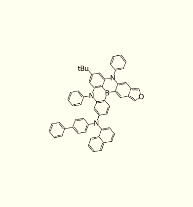 CC(C)(C)c1cc2c3c(c1)N(c1ccccc1)c1cc4cocc4cc1B3c1ccc(N(c3ccc(-c4ccccc4)cc3)c3cccc4ccccc34)cc1N2c1ccccc1